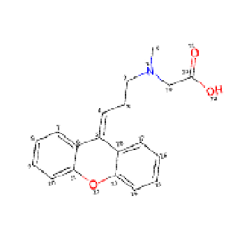 CN(CCC=C1c2ccccc2Oc2ccccc21)CC(=O)O